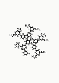 Cc1cc(C)cc(-c2ccc3c(c2)c2cc(-c4cc(C)cc(C)c4)ccc2n3-c2cc(-c3nc(-c4ccccc4)nc(-c4ccccc4)n3)cc(-n3c4ccc(-c5cc(C)cc(C)c5)cc4c4cc(-c5cc(C)cc(C)c5)ccc43)c2C#N)c1